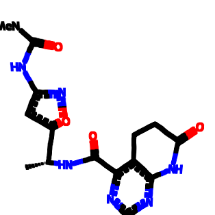 CNC(=O)Nc1cc([C@@H](C)NC(=O)c2ncnc3c2CCC(=O)N3)on1